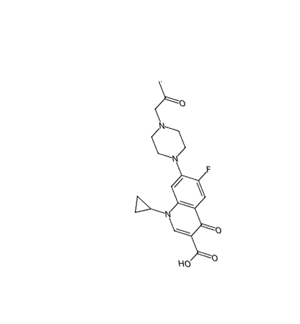 [CH2]C(=O)CN1CCN(c2cc3c(cc2F)c(=O)c(C(=O)O)cn3C2CC2)CC1